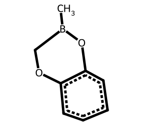 CB1COc2ccccc2O1